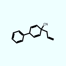 C=CCC1(C#N)C=CC(c2ccccc2)C=C1